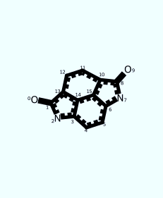 O=c1nc2ccc3nc(=O)c4ccc1c2c34